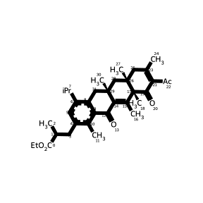 CCOC(=O)C(C)Cc1cc(C(C)C)c2c(c1C)C(=O)C1=C(C)[C@@]3(C)C(=O)C(C(C)=O)=C(C)C[C@@]3(C)C[C@@]1(C)C2